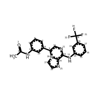 CC(=O)Nc1cccc(-c2cnc(Nc3cccc(C(F)(F)F)c3)c3nccn23)c1